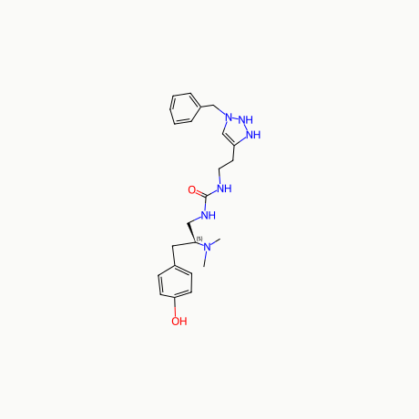 CN(C)[C@H](CNC(=O)NCCC1=CN(Cc2ccccc2)NN1)Cc1ccc(O)cc1